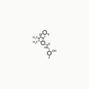 CC1c2ccc(C(=O)NCc3ccc(F)cc3O)cc2N(Cc2c(F)cccc2Cl)C(=O)N1C